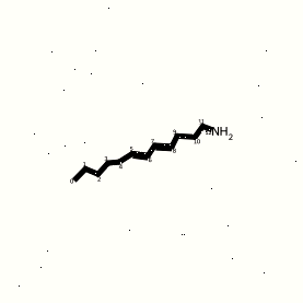 CCCCC/C=C/C=C/CCCN